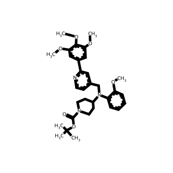 COc1ccccc1N(Cc1ccnc(-c2cc(OC)c(OC)c(OC)c2)c1)C1CCN(C(=O)OC(C)(C)C)CC1